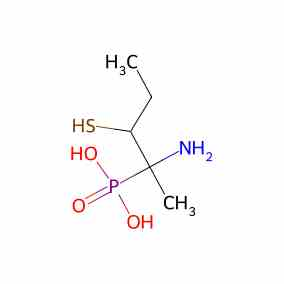 CCC(S)C(C)(N)P(=O)(O)O